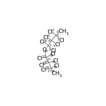 CC(Cl)(Cl)C(Cl)(Cl)C(Cl)(Cl)OC(Cl)(Cl)C(Cl)(Cl)C(C)(Cl)Cl